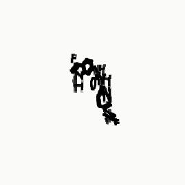 O=C(Nc1ccc2c(F)c[nH]c2c1)Nc1ccc(N2CC(F)(F)C2)cn1